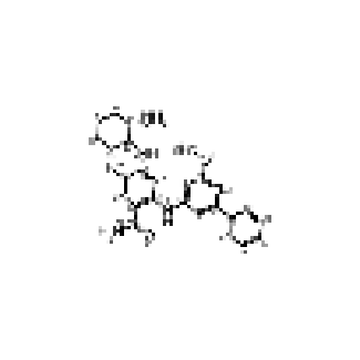 CCCOc1cc(Nc2nc(NC3CCCC[C@@H]3N)c(F)cc2C(N)=O)cc(-c2ccccc2)n1